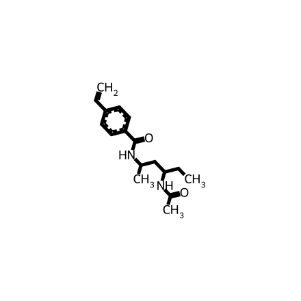 C=Cc1ccc(C(=O)NC(C)CC(CC)NC(C)=O)cc1